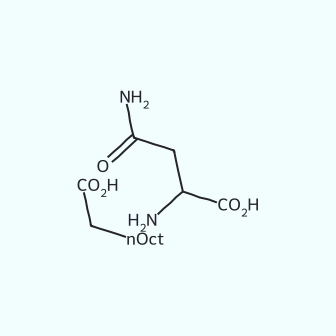 CCCCCCCCCC(=O)O.NC(=O)CC(N)C(=O)O